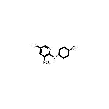 O=[N+]([O-])c1cc(C(F)(F)F)cnc1N[C@H]1CC[C@H](O)CC1